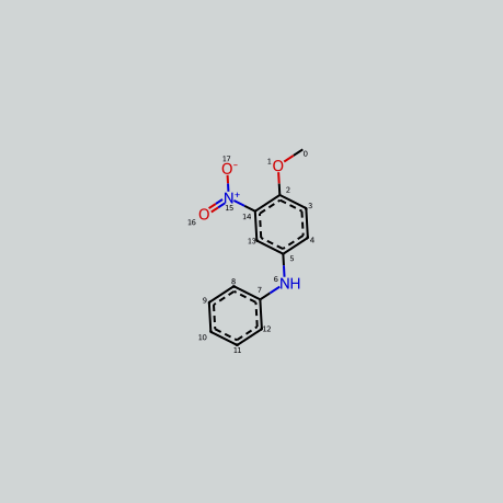 COc1ccc(Nc2ccccc2)cc1[N+](=O)[O-]